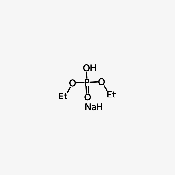 CCOP(=O)(O)OCC.[NaH]